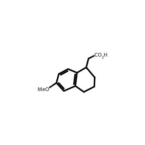 COc1ccc2c(c1)CCC[C]2CC(=O)O